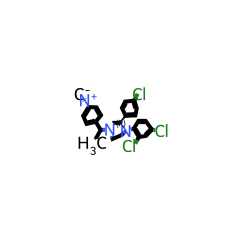 [C-]#[N+]c1ccc(C(CC)N2CCN(c3ccc(Cl)cc3Cl)[C@H](c3ccc(Cl)cc3)C2)cc1